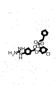 N=C(N)Nc1ccc(C(=O)Oc2cc(Cl)ccc2OS(=O)(=O)C=Cc2ccccc2)cc1